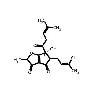 CC(C)=CCC(=O)[C@]1(O)C2=C(C(=O)C(C)O2)C(=O)C1CC=C(C)C